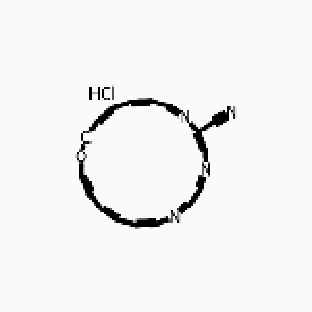 Cl.N#CC1=CN=CC=NC=CC=CC=COCC=CC=CC=N1